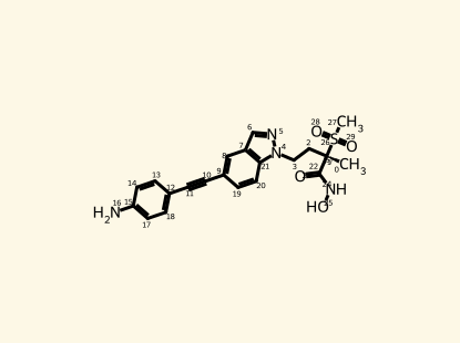 C[C@](CCn1ncc2cc(C#Cc3ccc(N)cc3)ccc21)(C(=O)NO)S(C)(=O)=O